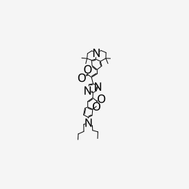 CCCCN(CCCC)c1ccc2cc(-c3cnc(-c4cc5cc6c7c(c5oc4=O)C(C)(C)CCN7CCC6(C)C)cn3)c(=O)oc2c1